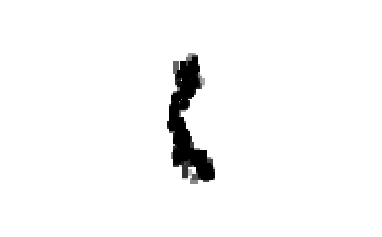 Nc1ncnc2c1c(-c1ccc(Oc3ccccc3)cc1)nn2C1CCC(N2CCN(CCCN3CCN(c4ccc5c(c4)C(=O)N(C4CCC(=O)NC4=O)C5=O)CC3)CC2)CC1